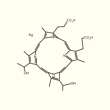 CC1=C(CCC(=O)O)c2cc3[nH]c(cc4nc(cc5[nH]c(cc1n2)c(C(C)O)c5C)C(C(C)O)=C4C)c(C)c3CCC(=O)O.[Ag]